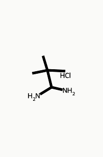 CC(C)(C)C(N)N.Cl